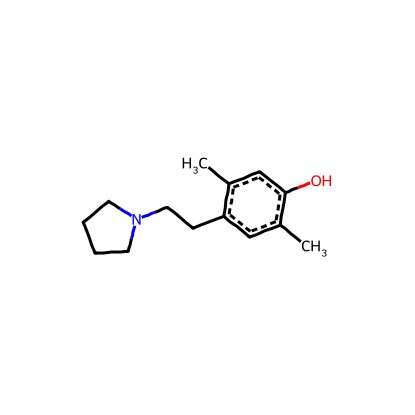 Cc1cc(CCN2CCCC2)c(C)cc1O